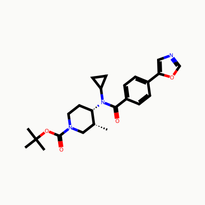 C[C@@H]1CN(C(=O)OC(C)(C)C)CC[C@@H]1N(C(=O)c1ccc(-c2cnco2)cc1)C1CC1